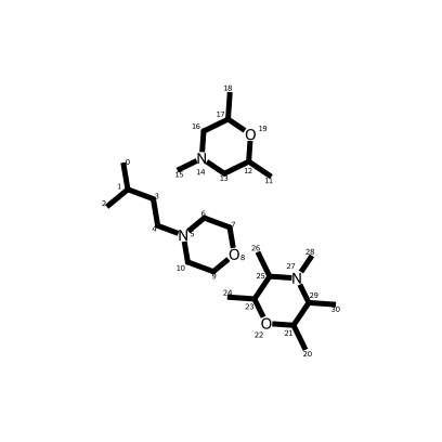 CC(C)CCN1CCOCC1.CC1CN(C)CC(C)O1.CC1OC(C)C(C)N(C)C1C